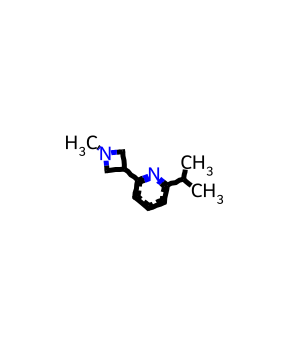 CC(C)c1cccc(C2CN(C)C2)n1